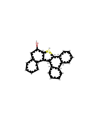 Brc1cc2ccccc2c2c1sc1c3ccccc3c3ccccc3c12